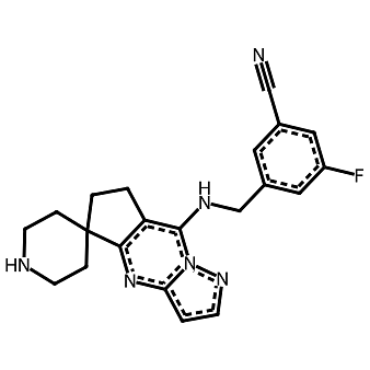 N#Cc1cc(F)cc(CNc2c3c(nc4ccnn24)C2(CCNCC2)CC3)c1